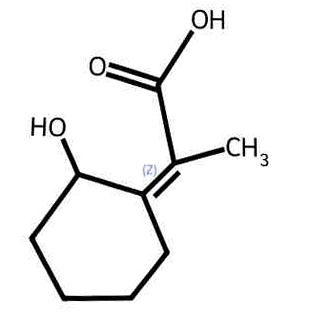 C/C(C(=O)O)=C1\CCCCC1O